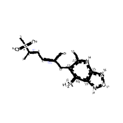 C/C(=C\C=C(/C)S(C)(=O)=O)Cc1c(C)nc2nonc2c1N